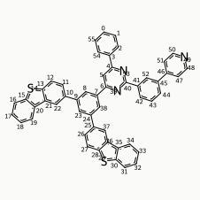 c1ccc(-c2cc(-c3cc(-c4ccc5sc6ccccc6c5c4)cc(-c4ccc5sc6ccccc6c5c4)c3)nc(-c3cccc(-c4ccncc4)c3)n2)cc1